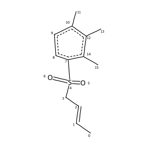 CC=CCS(=O)(=O)c1ccc(C)c(C)c1C